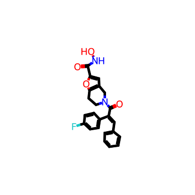 O=C(NO)c1cc2c(o1)CCN(C(=O)/C(=C/c1ccccc1)c1ccc(F)cc1)C2